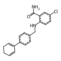 NC(=O)c1cc(Cl)ccc1NCc1ccc(C2=CCCC=C2)cc1